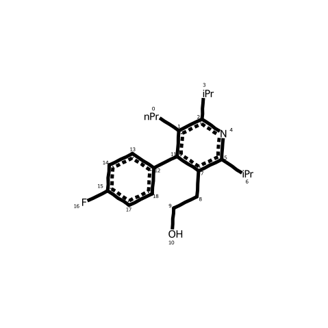 CCCc1c(C(C)C)nc(C(C)C)c(CCO)c1-c1ccc(F)cc1